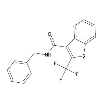 O=C(NCc1ccccc1)c1c(C(F)(F)F)sc2ccccc12